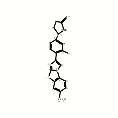 O=C1CC[C@H](c2ccc(-c3cn4c(n3)sc3cc(C(=O)O)ccc34)c(F)c2)N1